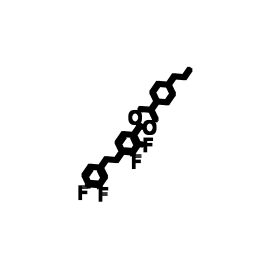 CCCC1CCC(C2COC(c3ccc(CCc4ccc(F)c(F)c4)c(F)c3F)OC2)CC1